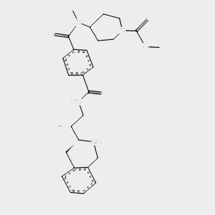 COC(=O)N1CCC(N(C)C(=O)c2ccc(C(=O)NC[C@@H](O)[C@@H]3Cc4ccccc4CN3)cc2)CC1